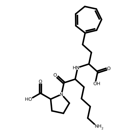 NCCCCC(NC(CCC1=CC=CCC=C1)C(=O)O)C(=O)N1CCCC1C(=O)O